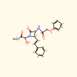 COC(=O)C(O)N1C(=O)C(NC(=O)COc2ccccc2)C1/C=C/c1ccccc1